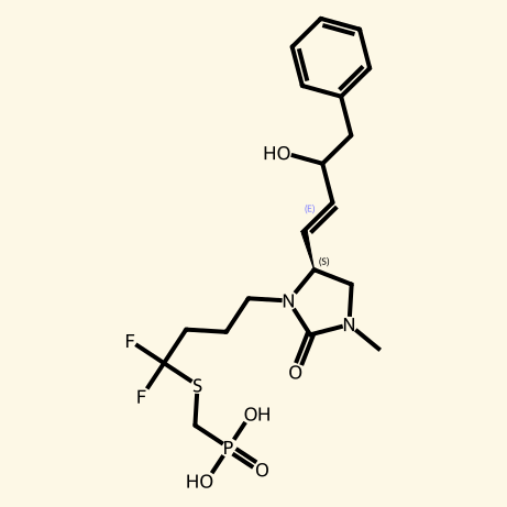 CN1C[C@H](/C=C/C(O)Cc2ccccc2)N(CCCC(F)(F)SCP(=O)(O)O)C1=O